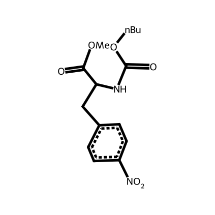 CCCCOC(=O)NC(Cc1ccc([N+](=O)[O-])cc1)C(=O)OC